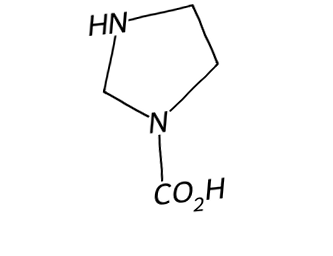 O=C(O)N1CCNC1